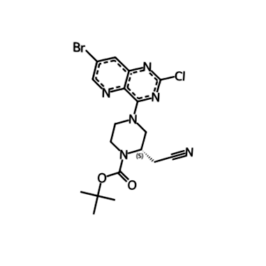 CC(C)(C)OC(=O)N1CCN(c2nc(Cl)nc3cc(Br)cnc23)C[C@@H]1CC#N